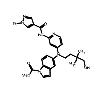 CCn1cc(C(=O)Nc2cc(N(CCC(C)(C)CO)c3ccc4c(ccn4C(=O)NC)c3)ccn2)cn1